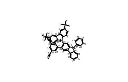 CC(C)(C)c1ccc2c(c1)c1cc(C(C)(C)C)ccc1n2-c1cc2c(cc1-c1cc(C#N)cc(C#N)c1)c1ccccc1n2-c1ccccc1